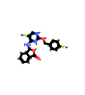 O=C1OC(Nc2nc(OCc3ccc(F)cc3)ncc2F)C2CC=CC=C12